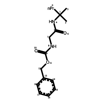 CCCC(C)(C)NC(=O)CNC(=O)OCc1ccccc1